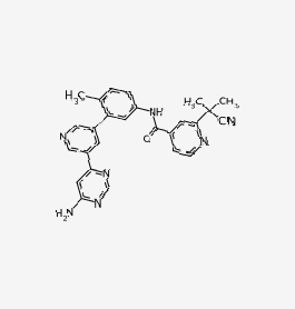 Cc1ccc(NC(=O)c2ccnc(C(C)(C)C#N)c2)cc1-c1cncc(-c2cc(N)ncn2)c1